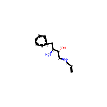 C=CCNC[C@@H](O)[C@@H](N)Cc1ccccc1